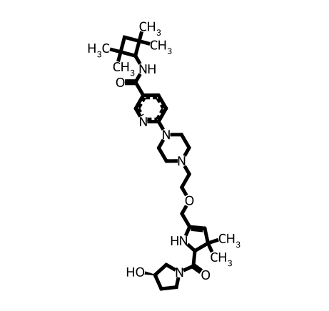 CC1(C)C=C(COCCN2CCN(c3ccc(C(=O)NC4C(C)(C)CC4(C)C)cn3)CC2)NC1C(=O)N1CC[C@@H](O)C1